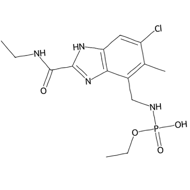 CCNC(=O)c1nc2c(CNP(=O)(O)OCC)c(C)c(Cl)cc2[nH]1